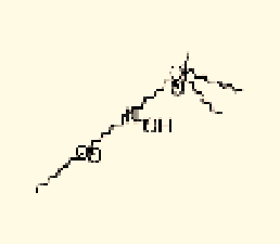 CCCCCCCCCOC(=O)CCCCCCCN(CCO)CCCCCCCC(=O)OC(CCC)(CCCCCCCC)CCCCCCCCC